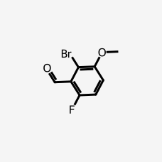 COc1ccc(F)c(C=O)c1Br